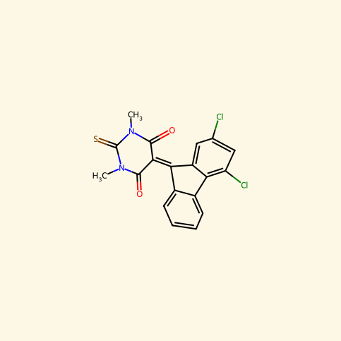 CN1C(=O)C(=C2c3ccccc3-c3c(Cl)cc(Cl)cc32)C(=O)N(C)C1=S